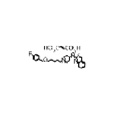 CN(C1=Nc2ccccc2CS1)C1CCN(CCCCCOCc2ccc(F)cc2)CC1.O=C(O)C=CC(=O)O